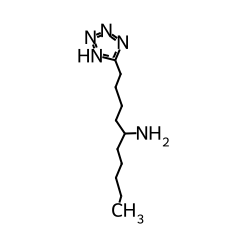 CCCCCC(N)CCCCc1nnn[nH]1